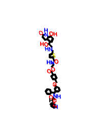 O=C(NC(c1ccccc1)c1cccc(OCc2ccc(C(=O)OCCNC(=O)c3ccc(CNC[C@H](O)c4ccc(O)c5[nH]c(=O)ccc45)s3)cc2)c1)O[C@H]1CN2CCC1CC2